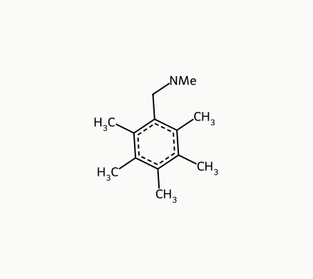 CNCc1c(C)c(C)c(C)c(C)c1C